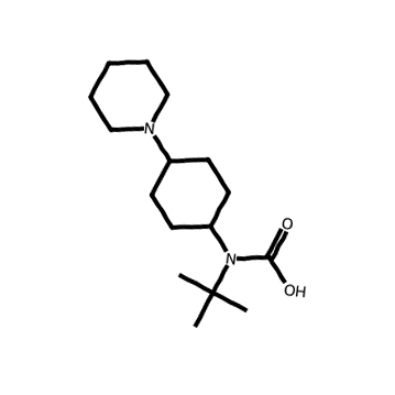 CC(C)(C)N(C(=O)O)C1CCC(N2CCCCC2)CC1